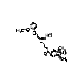 CCOc1ccccc1OCCNCCCCC(=O)c1ccc2c(c1)n(C)c(=O)n2C.Cl